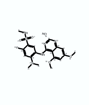 CNS(=O)(=O)c1cc(Nc2ncnc3cc(OC)cc(OC)c23)c(N(C)C)cc1F.Cl